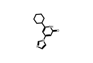 O=c1cc(-n2ccnc2)cc(C2CCCCC2)[nH]1